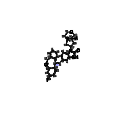 O=c1[nH]c2cc(/C=C3\c4ccccc4COc4cc(F)ccc43)ccc2n1C1C[C@H]2COCCN2C1